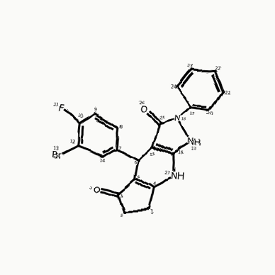 O=C1CCC2=C1C(c1ccc(F)c(Br)c1)c1c([nH]n(-c3ccccc3)c1=O)N2